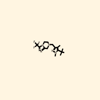 Cc1c(CN2CCn3c(nnc3C(F)(F)F)C2)nn(C)c1C(C)(C)C